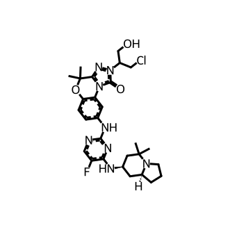 CC1(C)Oc2ccc(Nc3ncc(F)c(N[C@@H]4C[C@@H]5CCCN5C(C)(C)C4)n3)cc2-n2c1nn(C(CO)CCl)c2=O